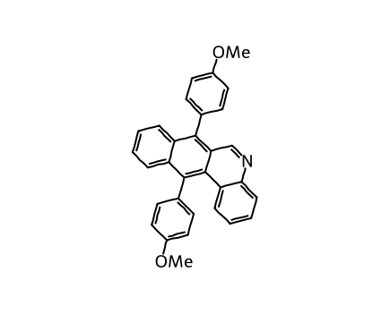 COc1ccc(-c2c3ccccc3c(-c3ccc(OC)cc3)c3c2cnc2ccccc23)cc1